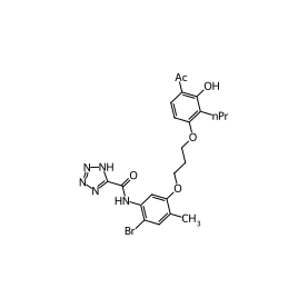 CCCc1c(OCCCOc2cc(NC(=O)c3nnn[nH]3)c(Br)cc2C)ccc(C(C)=O)c1O